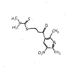 Cc1nc(C(Cl)(Cl)Cl)c([N+](=O)[O-])cc1C(=O)CCSC(=S)N(C)C